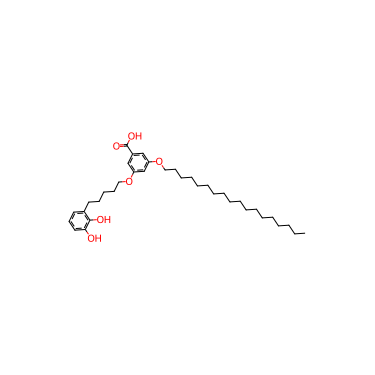 CCCCCCCCCCCCCCCCCCOc1cc(OCCCCCc2cccc(O)c2O)cc(C(=O)O)c1